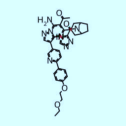 CCOCCOc1ccc(-c2ccc(-c3cnn4c(N)c(C(C)=O)c(C5CC6CCC(C5)N6C(=O)c5nnc[nH]5)nc34)cn2)cc1